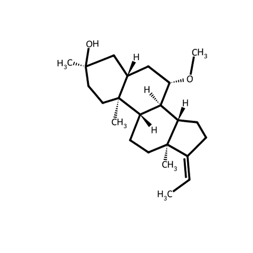 C/C=C1/CC[C@H]2[C@@H]3[C@@H](OC)C[C@H]4C[C@](C)(O)CC[C@]4(C)[C@H]3CC[C@]12C